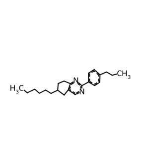 CCCCCCC1CCc2nc(-c3ccc(CCC)cc3)ncc2C1